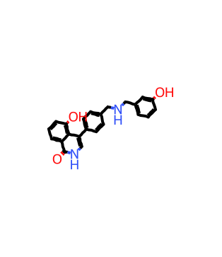 O=c1[nH]cc(-c2ccc(CNCc3cccc(O)c3)cc2)c2c(O)cccc12